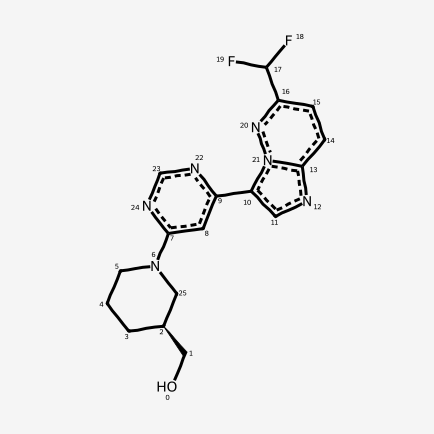 OC[C@H]1CCCN(c2cc(-c3cnc4ccc(C(F)F)nn34)ncn2)C1